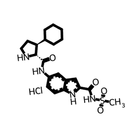 CS(=O)(=O)NC(=O)c1cc2cc(NC(=O)[C@@H]3NCC[C@H]3C3CCCCC3)ccc2[nH]1.Cl